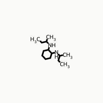 CCC(C)NC1CCCCC1NC(C)CC